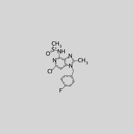 Cc1nc2c(N[S+](C)[O-])nc(Cl)cc2n1Cc1ccc(F)cc1